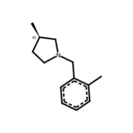 Cc1ccccc1CN1CC[C@@H](C)C1